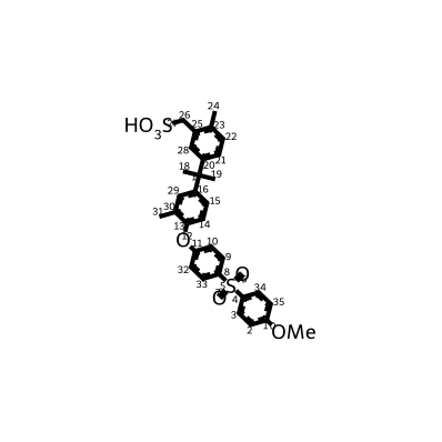 COc1ccc(S(=O)(=O)c2ccc(Oc3ccc(C(C)(C)c4ccc(C)c(CS(=O)(=O)O)c4)cc3C)cc2)cc1